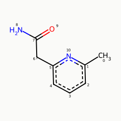 Cc1cccc([CH]C(N)=O)n1